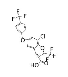 O=C(O)C1=Cc2cc(Oc3ccc(C(F)(F)F)cc3)cc(Cl)c2OC1C(F)(F)F